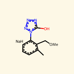 COCc1c(C)cccc1-n1nnnc1O.[NaH]